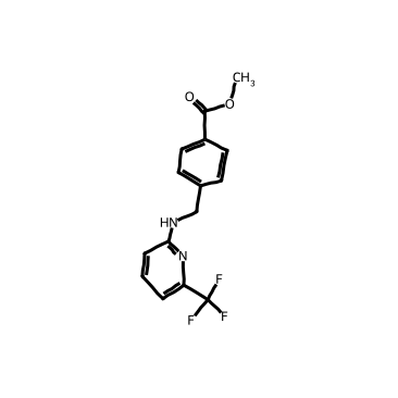 COC(=O)c1ccc(CNc2cccc(C(F)(F)F)n2)cc1